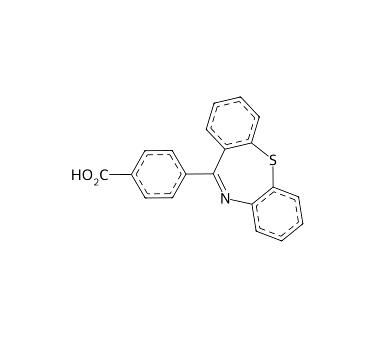 O=C(O)c1ccc(C2=Nc3ccccc3Sc3ccccc32)cc1